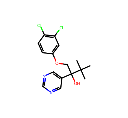 CC(C)(C)C(O)(COc1ccc(Cl)c(Cl)c1)c1cncnc1